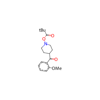 COc1ccccc1C(=O)C1CCN(OC(=O)C(C)(C)C)CC1